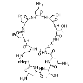 CCCCCCCC(=O)N[C@@H](CCN)C(=O)N[C@H](C(=O)N[C@@H](CCN)C(=O)N[C@H]1CCNC(=O)[C@H]([C@@H](C)O)NC(=O)[C@H](CO)NC(=O)[C@H](CCN)NC(=O)[C@H](CC(C)C)NC(=O)[C@@H](CC(C)C)NC(=O)[C@H](CCN)NC1=O)[C@@H](C)O